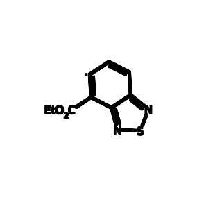 CCOC(=O)c1[c]ccc2nsnc12